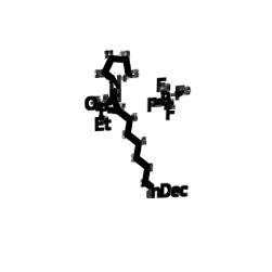 CCCCCCCCCCCCCCCCC1C([NH+]2CCCC2)P1(=O)CC.F[B-](F)(F)F